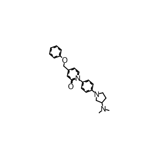 CN(C)C1CCN(c2ccc(-n3ccc(COc4ccccc4)cc3=O)cc2)C1